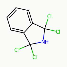 ClC1(Cl)NC(Cl)(Cl)c2ccccc21